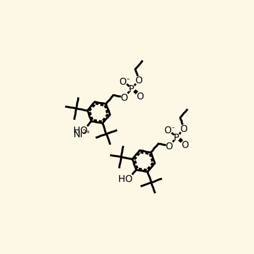 CCOP(=O)([O-])OCc1cc(C(C)(C)C)c(O)c(C(C)(C)C)c1.CCOP(=O)([O-])OCc1cc(C(C)(C)C)c(O)c(C(C)(C)C)c1.[Ni+2]